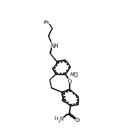 CC(C)CCNCc1ccc2c(c1)CCc1cc(C(N)=O)ccc1O2.Cl